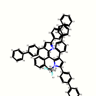 COc1ccccc1/C(=C1/N=C(c2ccc(-c3ccccc3)cc2)C=C1c1ccc(-c2ccccc2)cc1)c1c(-c2ccc(-c3ccccc3)cc2)cc(-c2ccc(-c3ccccc3)cc2)n1B(F)F